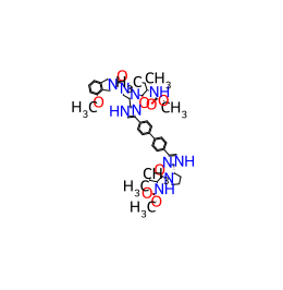 COC(=O)N[C@H](C(=O)N1CN(C(=O)N2Cc3cccc(OC)c3C2)CC1c1nc(-c2ccc(-c3ccc(-c4c[nH]c([C@@H]5CCCN5C(=O)[C@@H](NC(=O)OC)C(C)C)n4)cc3)cc2)c[nH]1)C(C)C